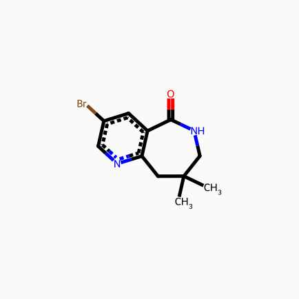 CC1(C)CNC(=O)c2cc(Br)cnc2C1